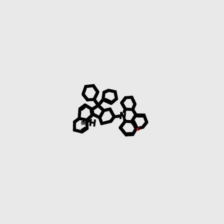 C1=CCC(N(C2CCC3C4=C(C=CC5CCC=C[C@@H]45)C(C4=CCCCC4)(C4CCCCC4)C3C2)C2CCCCC2C2=CCCCC2)C=C1